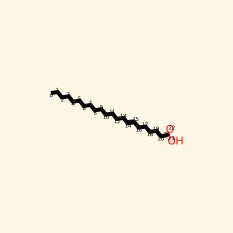 CCCCCCCCCCCCCCC=CCCCCCC(=O)O